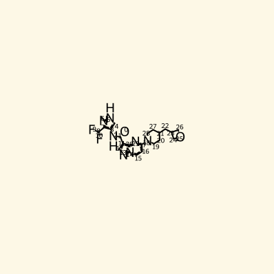 O=C(Nc1c[nH]nc1C(F)F)c1cnn2ccc(N3CCC(CC4COC4)CC3)nc12